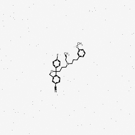 C=CCN(CCCc1cccc(OC)c1)CCCC1(c2ccc(F)cc2)OCc2cc(C#N)ccc21